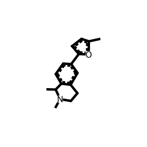 Cc1ccc(-c2ccc3c(c2)CCN(C)C3C)o1